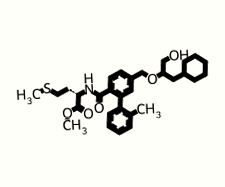 COC(=O)[C@H](CCSC)NC(=O)c1ccc(COC(CO)CC2CCCCC2)cc1-c1ccccc1C